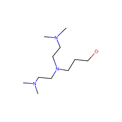 CN(C)CCN(CCC[O])CCN(C)C